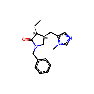 CC[C@H]1C(=O)N(Cc2ccccc2)C[C@@H]1Cc1cncn1C